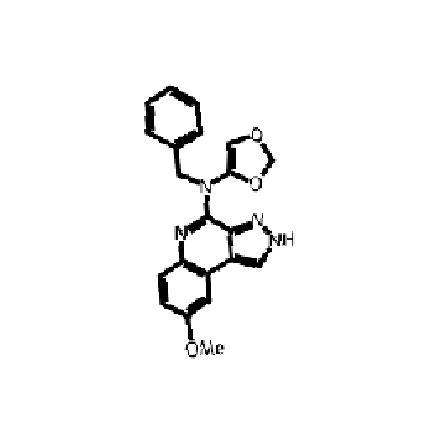 COc1ccc2nc(N(Cc3ccccc3)C3=COCO3)c3n[nH]cc3c2c1